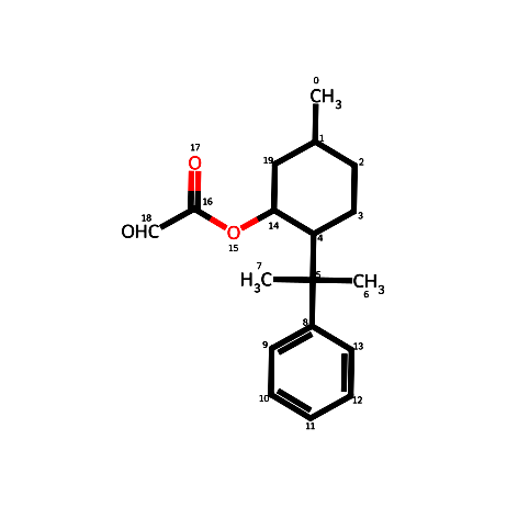 CC1CCC(C(C)(C)c2ccccc2)C(OC(=O)C=O)C1